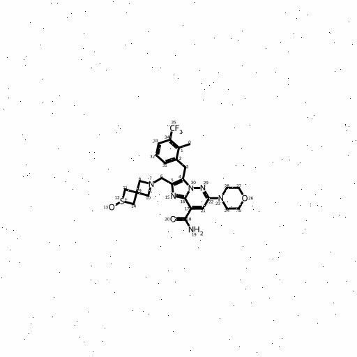 Cc1c(Cc2c(CN3CC4(C3)C[S+]([O-])C4)nc3c(C(N)=O)cc(N4CCOCC4)nn23)cccc1C(F)(F)F